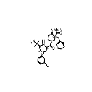 CNC(=O)[C@]1(Cc2ccccc2)CN(C(=O)[C@@H](COc2cccc(Cl)c2)NC(=O)C(C)(C)N)CCC1=N